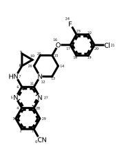 N#Cc1ccc2nc(NC3CC3)c(N3CCC(Oc4ccc(Cl)cc4F)CC3)nc2c1